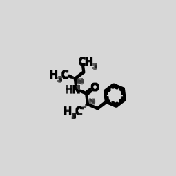 CC[C@H](C)NC(=O)[C@@H](C)Cc1ccccc1